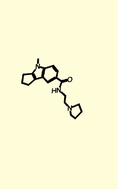 Cn1c2c(c3cc(C(=O)NCCN4CCCC4)ccc31)CCC2